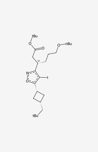 CCCCOCCC[C@@H](CC(=O)OC(C)(C)C)c1noc([C@H]2C[C@@H](CC(C)(C)C)C2)c1I